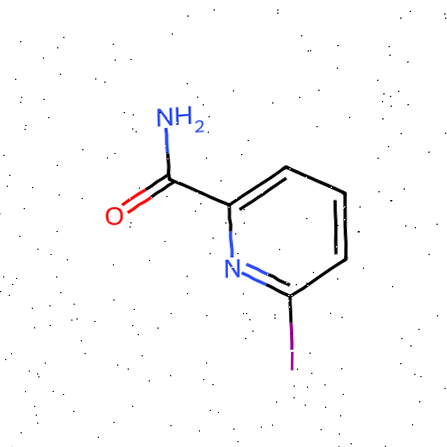 NC(=O)c1cccc(I)n1